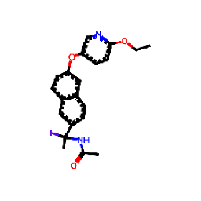 CCOc1ccc(Oc2ccc3cc(C(C)(I)NC(C)=O)ccc3c2)cn1